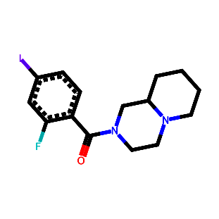 O=C(c1ccc(I)cc1F)N1CCN2CCCCC2C1